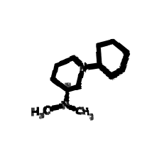 CN(C)[C@H]1CCCN(C2CCCCC2)C1